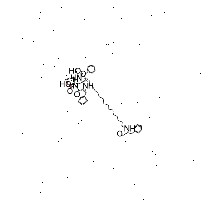 O=CC(Cc1ccccc1)NCCCCCCCCCCCCCCCC[C@@H](Cc1ccccc1)C(Cc1ccccc1)(NC(=O)O)N[C@@H](Cc1ccccc1)C(=O)NC(=O)O